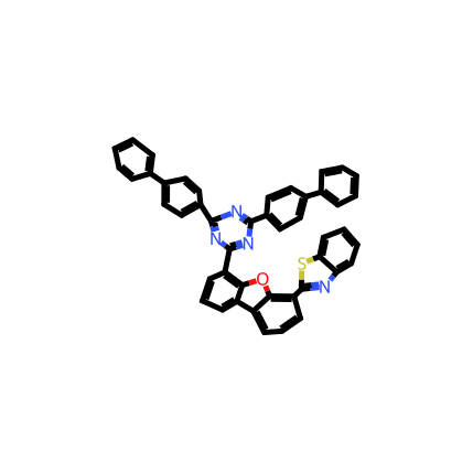 c1ccc(-c2ccc(-c3nc(-c4ccc(-c5ccccc5)cc4)nc(-c4cccc5c4oc4c(-c6nc7ccccc7s6)cccc45)n3)cc2)cc1